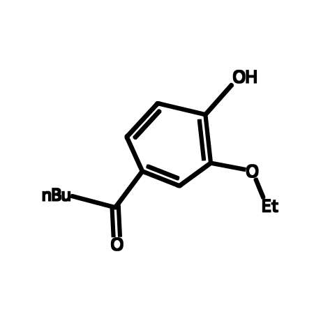 CCCCC(=O)c1ccc(O)c(OCC)c1